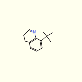 CC(C)(C)c1cccc2c1N=CCC2